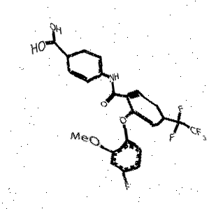 COc1cc(F)ccc1OC1=CC(C(F)(F)C(F)(F)F)CC=C1C(=O)NC1=CCC(C(O)O)C=C1